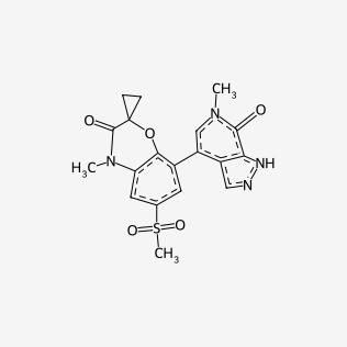 CN1C(=O)C2(CC2)Oc2c(-c3cn(C)c(=O)c4[nH]ncc34)cc(S(C)(=O)=O)cc21